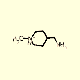 [CH2-][NH+]1CCC(CN)CC1